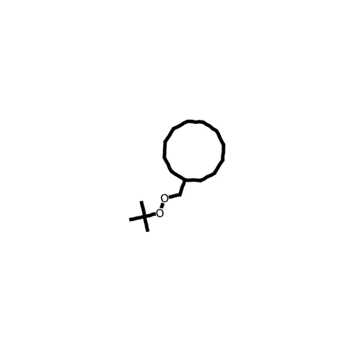 CC(C)(C)OOCC1CCCCCCCCCCC1